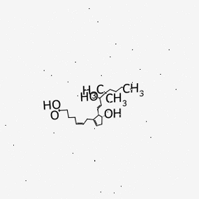 CCCCC(C)(C)[C@H](O)/C=C/[C@@H]1C(C/C=C\CCCC(=O)O)=CC[C@H]1O